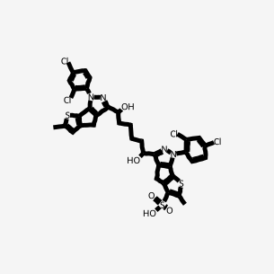 Cc1cc2c(s1)-c1c(c(C(O)CCCCC(O)c3nn(-c4ccc(Cl)cc4Cl)c4c3Cc3c-4sc(C)c3S(=O)(=O)O)nn1-c1ccc(Cl)cc1Cl)C2